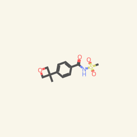 CC1(c2ccc(C(=O)NS(C)(=O)=O)cc2)COC1